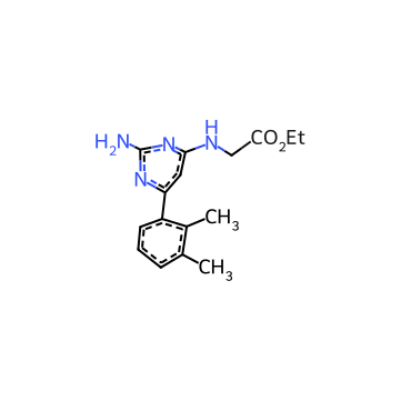 CCOC(=O)CNc1cc(-c2cccc(C)c2C)nc(N)n1